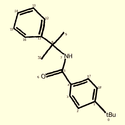 CC(C)(C)c1ccc(C(=O)NC(C)(C)c2ccccc2)cc1